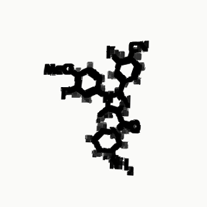 COc1ccc(-n2c(-c3ccc(C#N)c(F)c3)nc(C(=O)N3CCC[C@@H](N)C3)c2C)cc1F